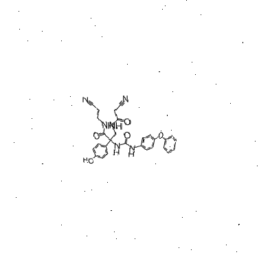 N#CCCNC(=O)C(CNC(=O)CC#N)(NC(=O)Nc1ccc(Oc2ccccc2)cc1)c1ccc(O)cc1